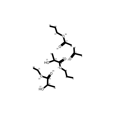 CC(C)=O.CCCOC(=O)C(C)O.CCCOC(C)=O.CCOC(=O)C(C)O